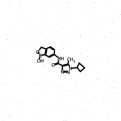 Cc1c(C(=O)Nc2ccc3c(c2)B(O)OC3)nnn1C1CCC1